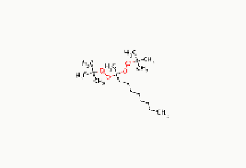 CCCCCCCCC(C)(OOC(C)(C)C)OOC(C)(C)C